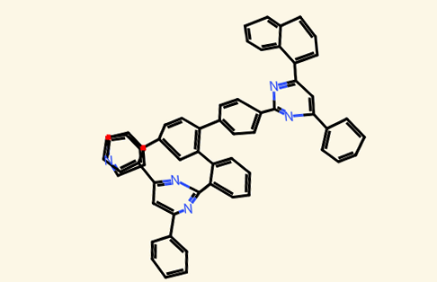 c1ccc(-c2cc(-c3cccc4ccccc34)nc(-c3ccc(-c4ccc(-c5ccncc5)cc4-c4ccccc4-c4nc(-c5ccccc5)cc(-c5ccccc5)n4)cc3)n2)cc1